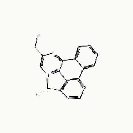 CC[C@H]1c2cccc3c4ccccc4c4nc(CC(C)C)c[n+]1c4c23